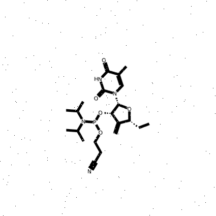 C=C1[C@@H](CC)O[C@@H](n2cc(C)c(=O)[nH]c2=O)[C@H]1OP(OCCC#N)N(C(C)C)C(C)C